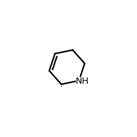 [CH]1C=CCCN1